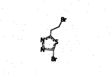 BrCCc1nnc(Br)s1